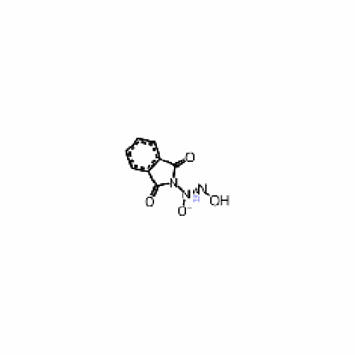 O=C1c2ccccc2C(=O)N1/[N+]([O-])=N/O